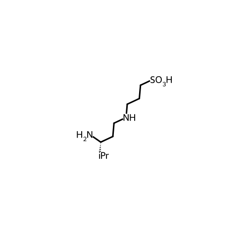 CC(C)[C@H](N)CCNCCCS(=O)(=O)O